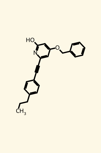 CCCc1ccc(C#Cc2cc(OCc3ccccc3)cc(O)n2)cc1